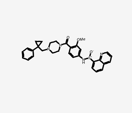 COc1cc(N[S+]([O-])c2cccc3cccnc23)ccc1C(=O)N1CCN(CC2(c3ccccc3)CC2)CC1